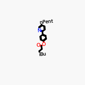 CCCCCc1ccc(-c2ccc(OC(=O)CCC(C)CC)cc2)nc1